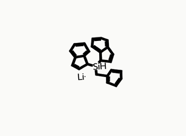 C1=CC([SiH](Cc2ccccc2)C2C=Cc3ccccc32)c2ccccc21.[Li]